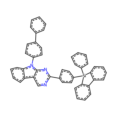 c1ccc(-c2ccc(-n3c4ccccc4c4cnc(-c5ccc([Si]6(c7ccccc7)c7ccccc7-c7ccccc76)cc5)nc43)cc2)cc1